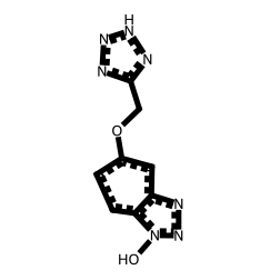 On1nnc2cc(OCc3nn[nH]n3)ccc21